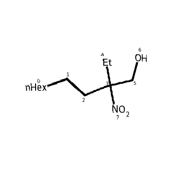 CCCCCCCCC(CC)(CO)[N+](=O)[O-]